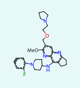 COc1nc2c(NC3CCN(c4cc#ccc4F)CC3)c3c(nc2cc1COCCN1CCCC1)CCC3